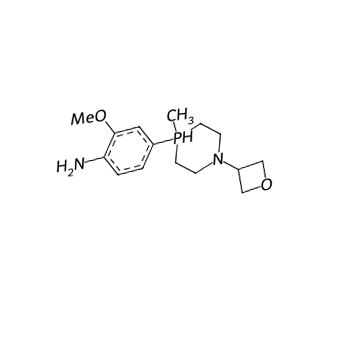 COc1cc([PH]2(C)CCN(C3COC3)CC2)ccc1N